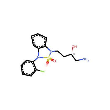 NC[C@@H](O)CCN1c2ccccc2N(c2ccccc2F)S1(=O)=O